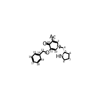 CC(=O)c1cn(C[C@@H]2CCCN2)cc(OCc2ccccc2)c1=O